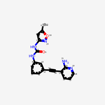 CC(C)(C)c1cc(NC(=O)Nc2cccc(C#Cc3cccnc3N)c2)no1